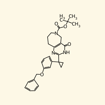 CC(C)(C)OC(=O)N1CCCc2nc(C3(c4cccc(OCc5ccccc5)c4)CC3)[nH]c(=O)c2C1